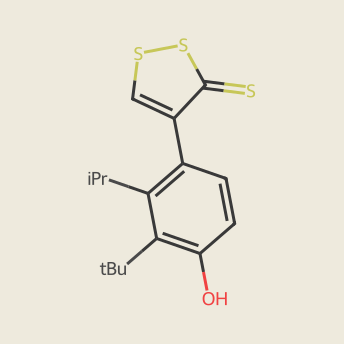 CC(C)c1c(-c2cssc2=S)ccc(O)c1C(C)(C)C